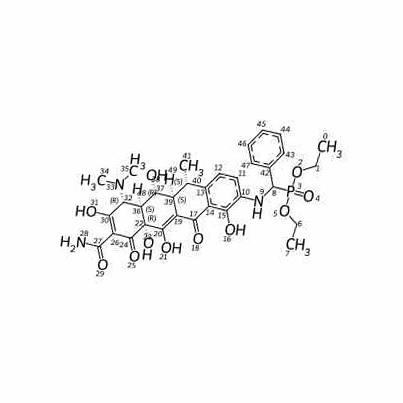 CCOP(=O)(OCC)C(Nc1ccc2c(c1O)C(=O)C1=C(O)[C@@]3(O)C(=O)C(C(N)=O)=C(O)[C@H](N(C)C)[C@H]3[C@H](O)[C@H]1[C@@H]2C)c1ccccc1